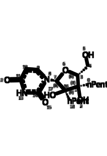 CCCCC[C@@]1(O)[C@@H](CO)O[C@@H](n2ccc(=O)[nH]c2=O)[C@@]1(O)CCCCC